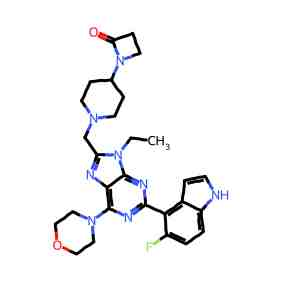 CCn1c(CN2CCC(N3CCC3=O)CC2)nc2c(N3CCOCC3)nc(-c3c(F)ccc4[nH]ccc34)nc21